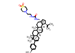 C=C(C)[C@@H]1CC[C@]2(CNC(=O)NCCN3CCS(=O)(=O)CC3)CC[C@]3(C)[C@H](CC[C@@H]4[C@@]5(C)CC=C(c6ccc(C(=O)O)cc6)C(C)(C)[C@@H]5CC[C@]43C)[C@@H]12